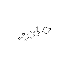 CC1(C)C(=O)Nc2cc3[nH]c(-c4ccncc4)cc3cc21